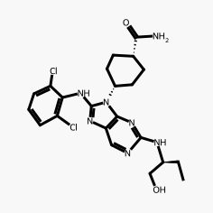 CC[C@@H](CO)Nc1ncc2nc(Nc3c(Cl)cccc3Cl)n([C@H]3CC[C@@H](C(N)=O)CC3)c2n1